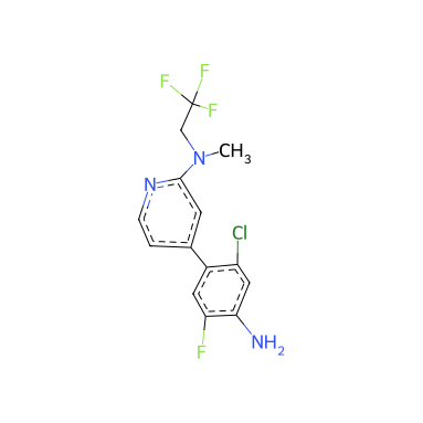 CN(CC(F)(F)F)c1cc(-c2cc(F)c(N)cc2Cl)ccn1